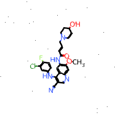 COc1cc2ncc(C#N)c(Nc3ccc(F)c(Cl)c3)c2cc1NC(=O)C=CCN1CCC(O)CC1